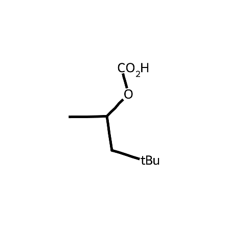 CC(CC(C)(C)C)OC(=O)O